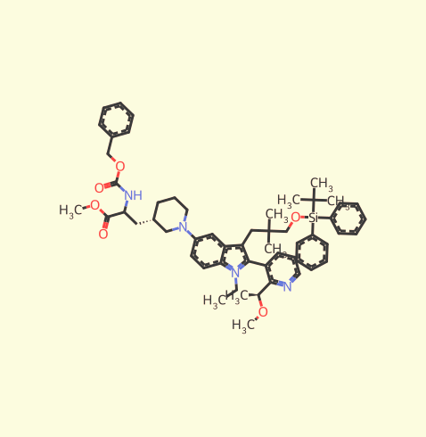 CCn1c(-c2cccnc2[C@H](C)OC)c(CC(C)(C)CO[Si](c2ccccc2)(c2ccccc2)C(C)(C)C)c2cc(N3CCC[C@@H](CC(NC(=O)OCc4ccccc4)C(=O)OC)C3)ccc21